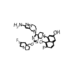 Nc1cc2n(n1)CCCN(c1nc(OC[C@@]34CCCN3C[C@H](F)C4)nc3c1CCN(c1cc(O)cc4ccc(F)c(Cl)c14)C3)C2